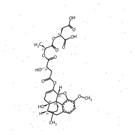 COc1ccc2c3c1O[C@H]1C(OC(=O)C[C@H](O)C(=O)O[C@@H](C)C(=O)O[C@@H](CC(=O)O)C(=O)O)=CC[C@@]4(O)[C@@H](C2)C(C)CC[C@]314